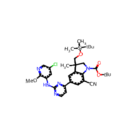 COc1ncc(Cl)cc1Nc1nccc(-c2cc(C#N)c3c(c2)C(C)(CO[Si](C)(C)C(C)(C)C)CN3C(=O)OC(C)(C)C)n1